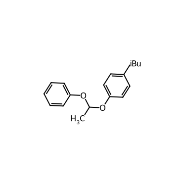 CCC(C)c1ccc(OC(C)Oc2ccccc2)cc1